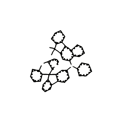 CC1(C)c2ccccc2-c2c1cc(N(c1ccccc1)c1ccc3c(c1)C1(c4ccccc4Oc4ccccc41)c1ccccc1-3)c1ccccc21